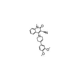 COc1ccc(C2=CCN(c3c(C#N)c(=O)n(C)c4ccccc34)CC2)cc1OC